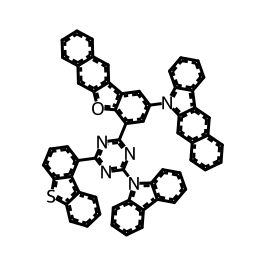 c1ccc2cc3c(cc2c1)oc1c(-c2nc(-c4cccc5sc6ccccc6c45)nc(-n4c5ccccc5c5ccccc54)n2)cc(-n2c4ccccc4c4cc5ccccc5cc42)cc13